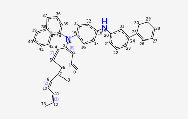 C=C/C=C(\C=C/CC(C)/C=C\C=C/C)N(c1ccc(Nc2cccc(C3=CC=CCC3)c2)cc1)c1cccc2ccccc12